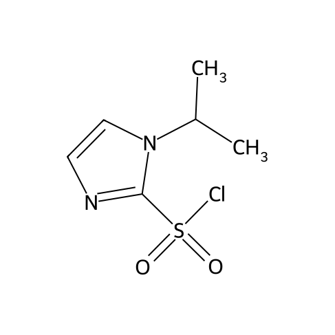 CC(C)n1ccnc1S(=O)(=O)Cl